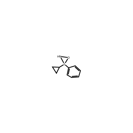 c1ccc(S2(C3CC3)NO2)cc1